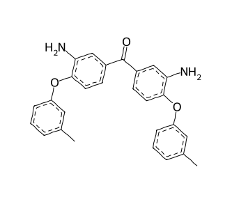 Cc1cccc(Oc2ccc(C(=O)c3ccc(Oc4cccc(C)c4)c(N)c3)cc2N)c1